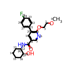 COCCOc1ncc(C(=O)N[C@@H]2CCCC[C@H]2O)cc1-c1ccc(F)cc1